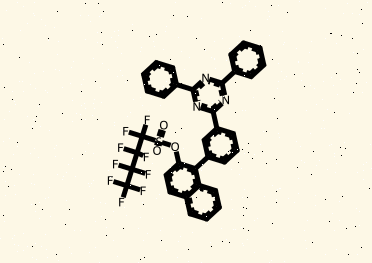 O=S(=O)(Oc1ccc2ccccc2c1-c1cccc(-c2nc(-c3ccccc3)nc(-c3ccccc3)n2)c1)C(F)(F)C(F)(F)C(F)(F)C(F)(F)F